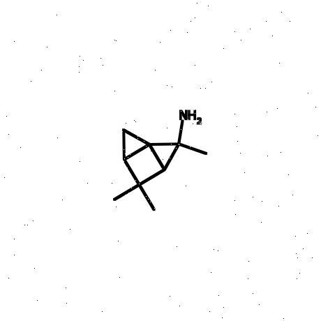 CC1(C)C2CC23C1C3(C)N